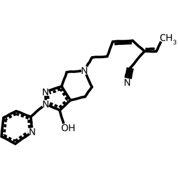 C/C=C(C#N)\C=C/CCN1CCc2c(nn(-c3ccccn3)c2O)C1